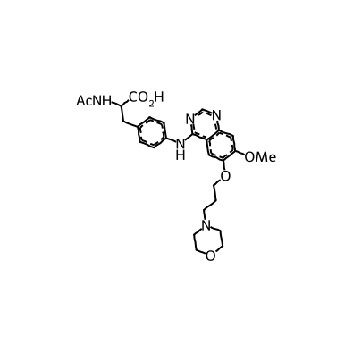 COc1cc2ncnc(Nc3ccc(CC(NC(C)=O)C(=O)O)cc3)c2cc1OCCCN1CCOCC1